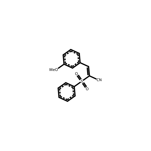 COc1cccc(C=C(C#N)S(=O)(=O)c2ccccc2)c1